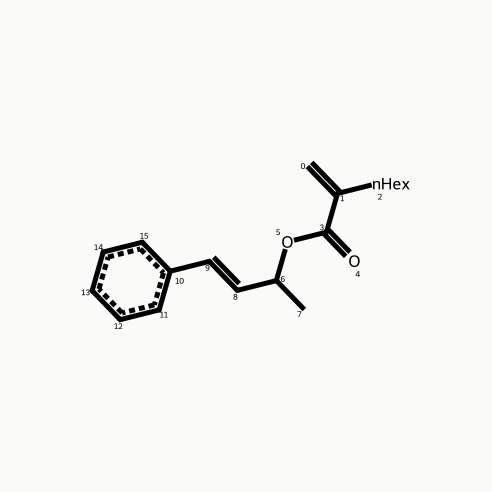 C=C(CCCCCC)C(=O)OC(C)C=Cc1ccccc1